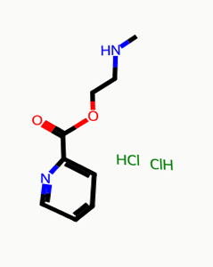 CNCCOC(=O)c1ccccn1.Cl.Cl